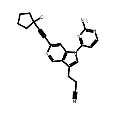 N#CCCc1cn(-c2ccnc(N)n2)c2cc(C#CC3(O)CCCC3)ncc12